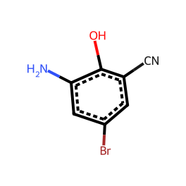 N#Cc1cc(Br)cc(N)c1O